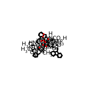 CC(C)C[C@H](NC(=O)[C@H](C)N(C)C(=O)OCC1c2ccccc2-c2ccccc21)C(=O)N(C)[C@@H](CC(C)C)C(=O)N[C@@H](C)C(=O)N(C)[C@@H](Cc1ccccc1)C(=O)NCC(=O)N(C)[C@@H](C)C(=O)N[C@@H](CC(C)C)C(=O)N(C)[C@@H](Cc1ccccc1)C(=O)N1CCC[C@H]1C(=O)N[C@@H](C)C(=O)O